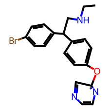 CCNCC(c1ccc(Br)cc1)c1ccc(Oc2cnccn2)cc1